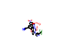 N#Cc1ccc(C2(c3ccc([N+](=O)[O-])cc3)C3=C(CCC3=O)N(c3ccnc(C(F)(F)F)c3)C(=O)N2C(=O)O)cc1